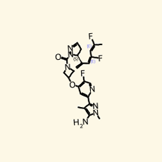 C=C(/C=C(F)\C=C(/C)F)[C@@H]1CC=NN1C(=O)N1CC(Oc2cc(-c3nn(C)c(N)c3C)ncc2F)C1